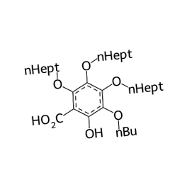 CCCCCCCOc1c(OCCCC)c(O)c(C(=O)O)c(OCCCCCCC)c1OCCCCCCC